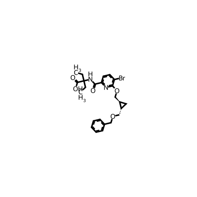 CCC(CC)(NC(=O)c1ccc(Br)c(OC[C@H]2C[C@@H]2COCc2ccccc2)n1)C(=O)O